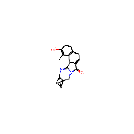 Cc1c(O)ccc2c1C1C(=CC2)C(=O)N2CC34B5B3C54N=C12